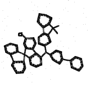 CC1(C)c2ccccc2-c2ccc(C(c3ccc(-c4ccccc4)cc3)c3cccc4c3-c3ccc(Cl)cc3C43c4ccccc4-c4ccccc43)cc21